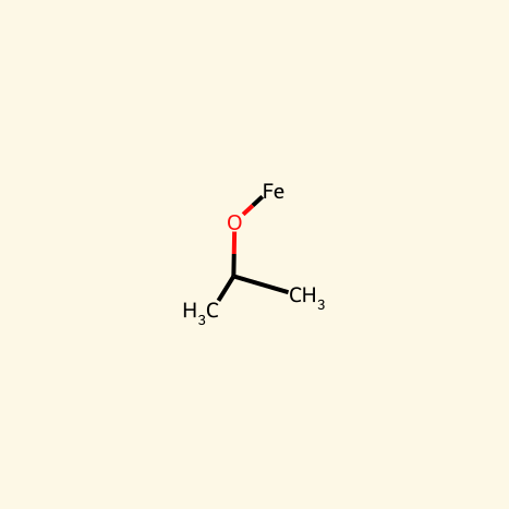 CC(C)[O][Fe]